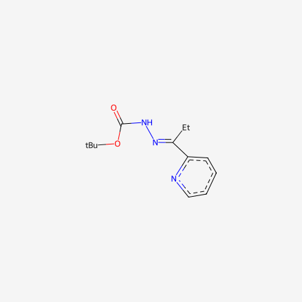 CCC(=NNC(=O)OC(C)(C)C)c1ccccn1